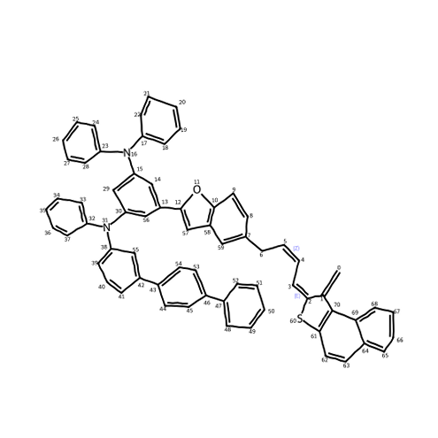 C=c1/c(=C\C=C/Cc2ccc3oc(-c4cc(N(c5ccccc5)c5ccccc5)cc(N(c5ccccc5)c5cccc(-c6ccc(-c7ccccc7)cc6)c5)c4)cc3c2)sc2ccc3ccccc3c12